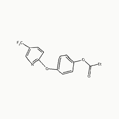 CCC(=O)Oc1ccc(Oc2ccc(C(F)(F)F)cn2)cc1